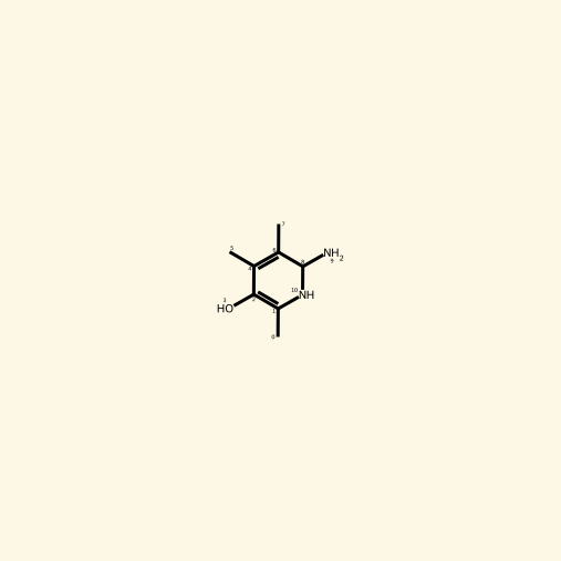 CC1=C(O)C(C)=C(C)C(N)N1